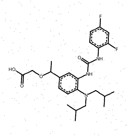 CC(C)CN(CC(C)C)c1ccc(C(C)OCC(=O)O)cc1NC(=O)Nc1ccc(F)cc1F